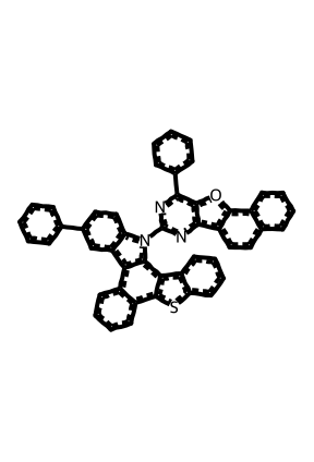 c1ccc(-c2ccc3c(c2)c2c4ccccc4c4sc5ccccc5c4c2n3-c2nc(-c3ccccc3)c3oc4c5ccccc5ccc4c3n2)cc1